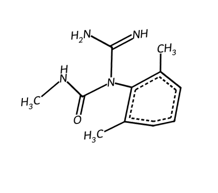 CNC(=O)N(C(=N)N)c1c(C)cccc1C